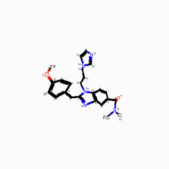 CCOc1ccc(Cc2nc3cc(C(=O)N(CC)CC)ccc3n2CCCn2ccnc2)cc1